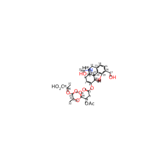 CC(=O)O[C@@H](CC(=O)OC1=CC[C@@]2(O)[C@H]3Cc4ccc(CO)c5c4[C@@]2(CCN3C)[C@H]1O5)C(=O)O[C@@H](C)C(=O)O[C@@H](C)C(=O)O